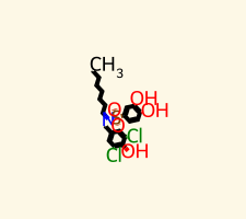 CCCCCCCCN(Cc1cc(Cl)c(O)c(Cl)c1)S(=O)(=O)c1ccc(O)c(O)c1